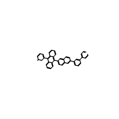 CC1C=CC=C(c2c3ccccc3c(-c3ccc4cc(-c5cccc(-c6ccncc6)c5)ccc4c3)c3ccccc23)C1